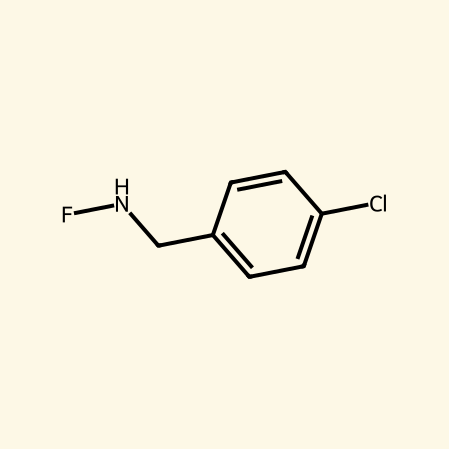 FNCc1ccc(Cl)cc1